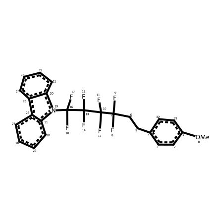 COc1ccc(C[CH]C(F)(F)C(F)(F)C(F)(F)C(F)(F)n2c3ccccc3c3ccccc32)cc1